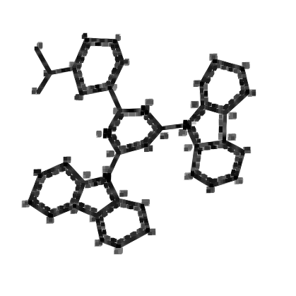 CC(C)c1cccc(-c2nc(-n3c4ccccc4c4ccccc43)cc(-n3c4ccccc4c4ccccc43)n2)c1